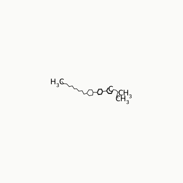 CCCCCCCCCCC1CCC(c2ccc(-c3ccc(CC(C)CC)cc3)cc2)CC1